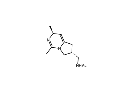 CC(=O)NC[C@H]1CC2=C[C@H](C)N=C(C)N2C1